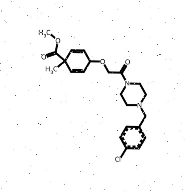 COC(=O)C1(C)C=CC(OCC(=O)N2CCN(Cc3ccc(Cl)cc3)CC2)C=C1